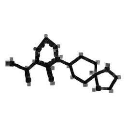 O=C(O)c1cccn(C2CCC3(CC2)OCCO3)c1=O